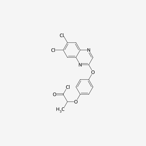 CC(Oc1ccc(Oc2cnc3cc(Cl)c(Cl)cc3n2)cc1)C(=O)Cl